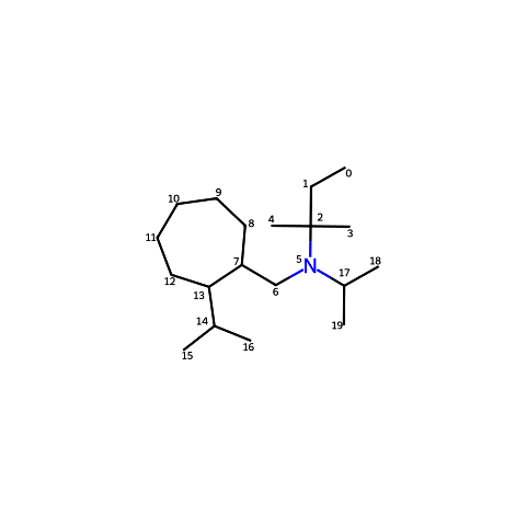 CCC(C)(C)N(CC1CCCCCC1C(C)C)C(C)C